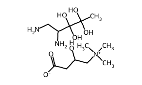 CC(O)(O)C(O)(O)C(N)CN.C[N+](C)(C)CC(O)CC(=O)[O-]